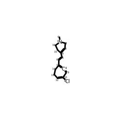 CN1CC=C(/C=C/C2=C=CC(Cl)=CCC2)CC1